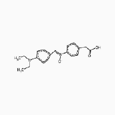 CCN(CC)c1ccc(C=[N+]([O-])c2ccc(CC(=O)O)cc2)cc1